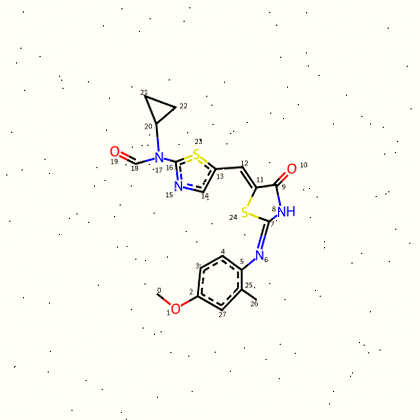 COc1ccc(/N=C2/NC(=O)/C(=C/c3cnc(N(C=O)C4CC4)s3)S2)c(C)c1